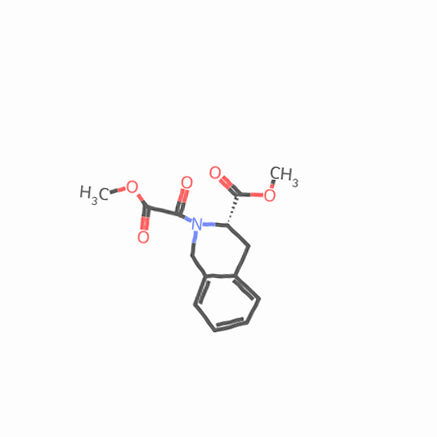 COC(=O)C(=O)N1Cc2ccccc2C[C@H]1C(=O)OC